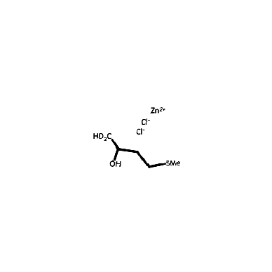 CSCCC(O)C(=O)O.[Cl-].[Cl-].[Zn+2]